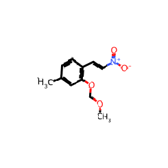 COCOc1cc(C)ccc1/C=C/[N+](=O)[O-]